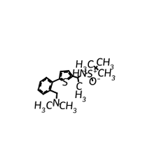 CC(N[S+]([O-])C(C)(C)C)c1ccc(-c2ccccc2CN(C)C)s1